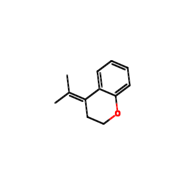 CC(C)=C1CCOc2ccccc21